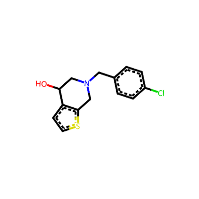 OC1CN(Cc2ccc(Cl)cc2)Cc2sccc21